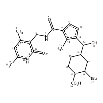 Cc1cc(C)c(CNC(=O)c2csc(C(O)C3CCN(C(=O)O)C(C(C)(C)C)C3)c2C)c(=O)[nH]1